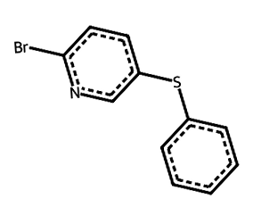 Brc1ccc(Sc2ccccc2)cn1